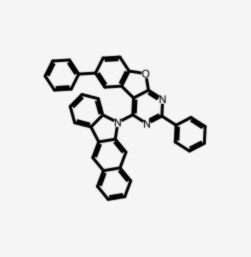 c1ccc(-c2ccc3oc4nc(-c5ccccc5)nc(-n5c6ccccc6c6cc7ccccc7cc65)c4c3c2)cc1